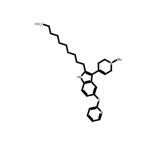 CC(C)(C)N1CC=C(c2c(CCCCCCCCCC(=O)O)[nH]c3ccc(Sc4ccccn4)cc23)CC1